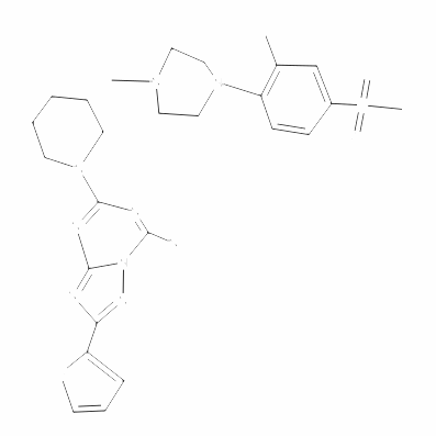 CS(=O)(=O)c1ccc(N2CCN(C[C@H]3CCCN(c4nc(N)n5nc(-c6ccco6)nc5n4)C3)CC2)c(F)c1